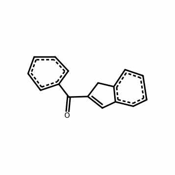 O=C(C1=Cc2ccccc2C1)c1ccccc1